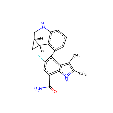 Cc1[nH]c2c(C(N)=O)cc(F)c(-c3cccc4c3[C@@H]3C[C@@H]3CN4)c2c1C